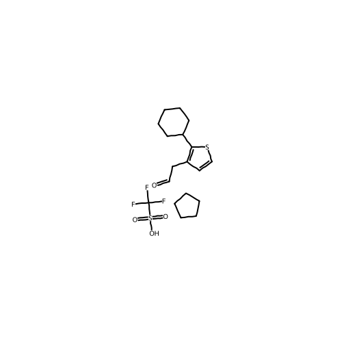 C1CCCC1.O=CCc1ccsc1C1CCCCC1.O=S(=O)(O)C(F)(F)F